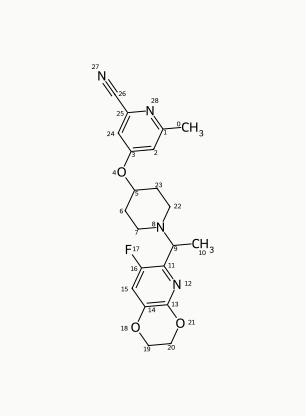 Cc1cc(OC2CCN(C(C)c3nc4c(cc3F)OCCO4)CC2)cc(C#N)n1